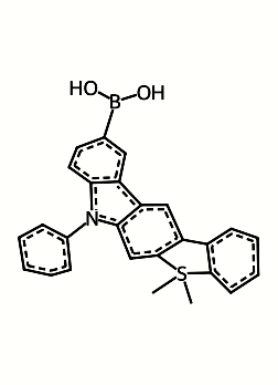 CS1(C)c2ccccc2-c2cc3c4cc(B(O)O)ccc4n(-c4ccccc4)c3cc21